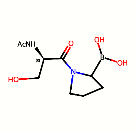 CC(=O)N[C@H](CO)C(=O)N1CCCC1B(O)O